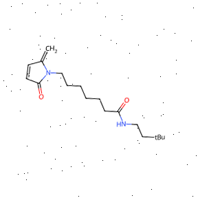 C=C1C=CC(=O)N1CCCCCCC(=O)NCCC(C)(C)C